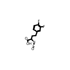 O=C=NC(CCc1ccc(F)c(F)c1)C(=O)O